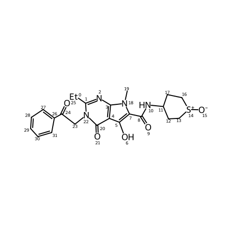 CCc1nc2c(c(O)c(C(=O)NC3CC[S+]([O-])CC3)n2C)c(=O)n1CC(=O)c1ccccc1